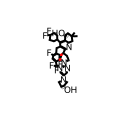 CC1(C)Cc2nc(C3CCN(c4ncc(N5CC[C@H](O)C5)cn4)CC3)c(Cc3ccc(C(F)(F)F)cc3F)c(C3CCC(F)(F)CC3)c2[C@@H](O)C1